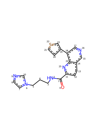 O=C(NCCCn1ccnc1)c1ccc2cncc(-c3ccsc3)c2n1